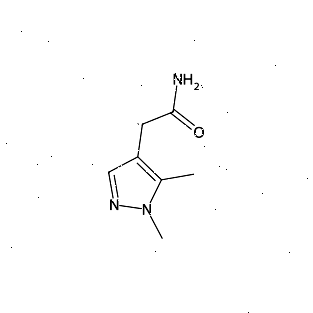 Cc1c([CH]C(N)=O)cnn1C